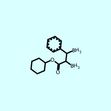 BC(C(=O)OC1CCCCC1)C(B)c1ccccc1